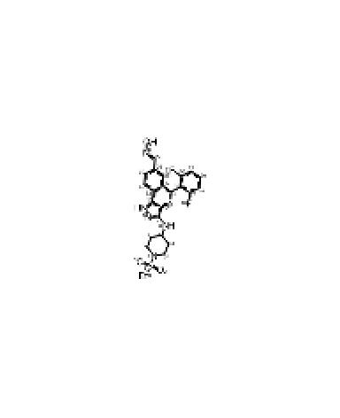 CCS(=O)(=O)N1CCC(Nc2n[nH]c3c2nc(-c2c(F)cccc2F)c2cc(/C=N/O)ccc23)CC1